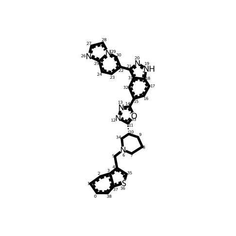 c1ccc2c(CN3CCC[C@@H](c4nnc(-c5ccc6[nH]nc(-c7ccc8nccn8c7)c6c5)o4)C3)csc2c1